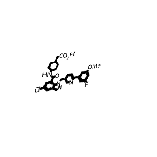 COc1cc(F)cc(-c2ccc(Cn3ncc4cc(Cl)cc(C(=O)NC5CCC(CC(=O)O)CC5)c43)cn2)c1